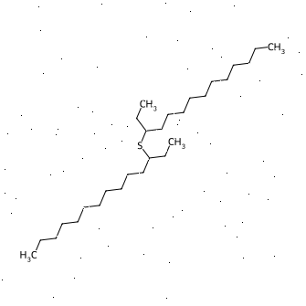 CCCCCCCCCCCC(CC)SC(CC)CCCCCCCCCCC